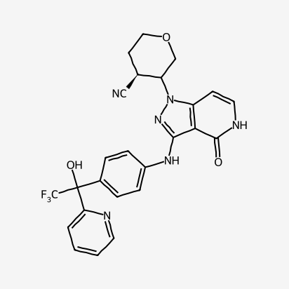 N#C[C@H]1CCOCC1n1nc(Nc2ccc(C(O)(c3ccccn3)C(F)(F)F)cc2)c2c(=O)[nH]ccc21